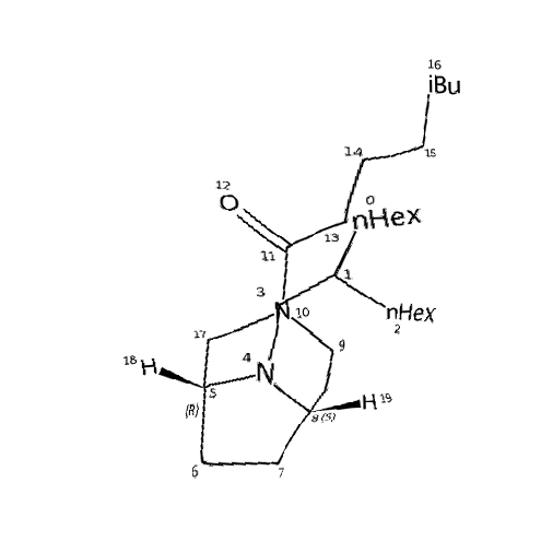 CCCCCCC(CCCCCC)CN1[C@@H]2CC[C@H]1CN(C(=O)CCCC(C)CC)C2